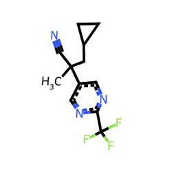 CC(C#N)(CC1CC1)c1cnc(C(F)(F)F)nc1